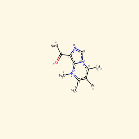 CCc1c(C)n(C)c2c(C(=O)NC)nc[n+]-2c1C